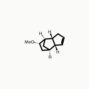 CO[C@H]1C[C@H]2C[C@@H]1[C@@H]1CC=C[C@H]21